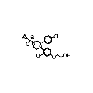 O=S(=O)(C1CC1)N1CCN(c2ccc(OCCO)cc2Cl)[C@H](c2ccc(Cl)cc2)C1